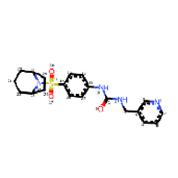 O=C(NCc1cccnc1)Nc1ccc(S(=O)(=O)N2C3CCCC2CC3)cc1